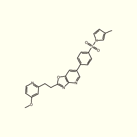 COc1ccnc(CCc2nc3ncc(-c4ccc(S(=O)(=O)n5ccc(C)c5)cc4)cc3o2)c1